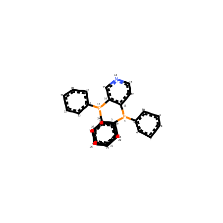 c1ccc(P(c2ccccc2)c2ccncc2P(c2ccccc2)c2ccccc2)cc1